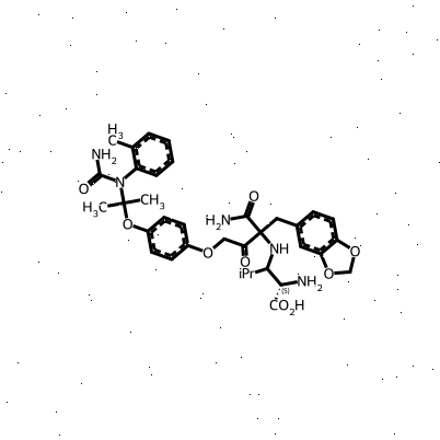 Cc1ccccc1N(C(N)=O)C(C)(C)Oc1ccc(OCC(=O)C(Cc2ccc3c(c2)OCO3)(NC(C(C)C)[C@H](N)C(=O)O)C(N)=O)cc1